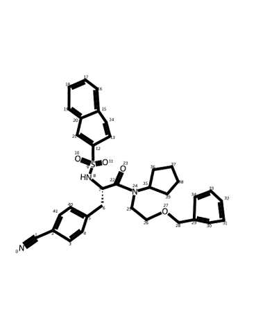 N#Cc1ccc(C[C@H](NS(=O)(=O)c2ccc3ccccc3c2)C(=O)N(CCOCc2ccccc2)C2CCCC2)cc1